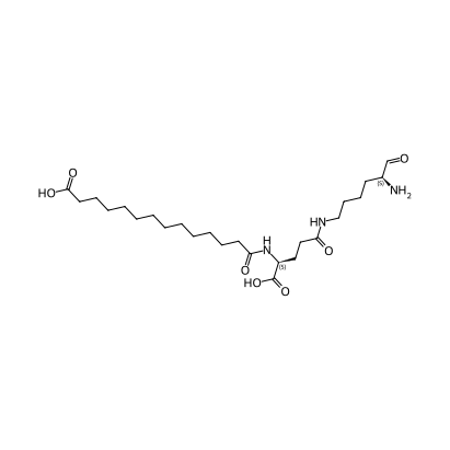 N[C@H](C=O)CCCCNC(=O)CC[C@H](NC(=O)CCCCCCCCCCCCC(=O)O)C(=O)O